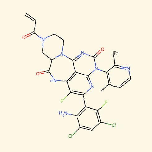 C=CC(=O)N1CCN2c3nc(=O)n(-c4c(C)ccnc4C(C)C)c4nc(-c5c(N)c(Cl)cc(Cl)c5F)c(F)c(c34)NC(=O)C2C1